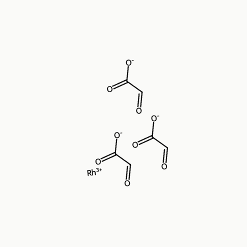 O=CC(=O)[O-].O=CC(=O)[O-].O=CC(=O)[O-].[Rh+3]